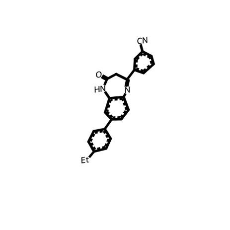 CCc1ccc(-c2ccc3c(c2)NC(=O)CC(c2cccc(C#N)c2)=N3)cc1